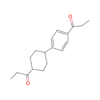 CCC(=O)c1ccc(C2CCC(C(=O)CC)CC2)cc1